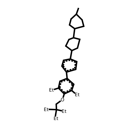 CCc1cc(-c2ccc(C3CCC(C4CCC(C)CC4)CC3)cc2)cc(CC)c1OCC(CC)(CC)CC